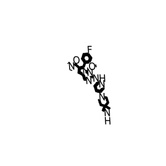 COc1cc(F)ccc1-c1c(C(=O)N(C)C)cc2cnc(Nc3ccc(N4CCC5(CC4)CNC5)cn3)nn12